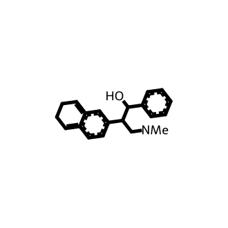 CNCC(c1ccc2c(c1)=CCCC=2)C(O)c1ccccc1